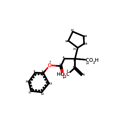 C=C(C(=O)O)C(CC(=O)Oc1ccccc1)(C(=O)O)C1CCCC1